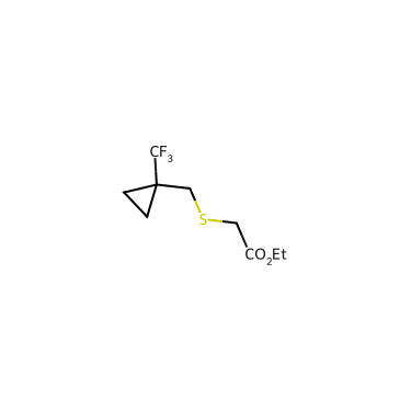 CCOC(=O)CSCC1(C(F)(F)F)CC1